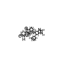 Cc1cc(-c2cc3c(cc2Nc2cccc4c2C(=O)N(C2CCC(=O)NC2=O)C4=O)nc(C)n3C)ccn1